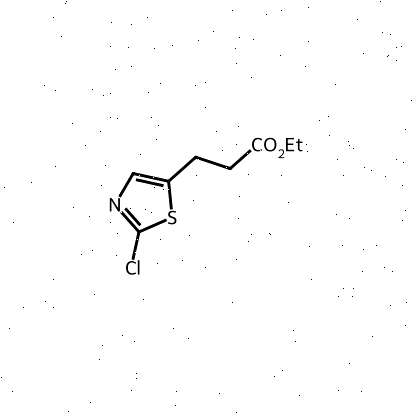 CCOC(=O)CCc1cnc(Cl)s1